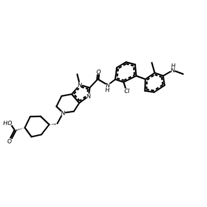 CNc1cccc(-c2cccc(NC(=O)c3nc4c(n3C)CCN(C[C@H]3CC[C@@H](C(=O)O)CC3)C4)c2Cl)c1C